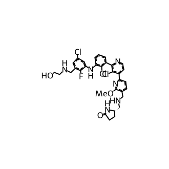 COc1nc(-c2ccnc(-c3cccc(Nc4cc(Cl)cc(CNCCO)c4F)c3Cl)c2Cl)ccc1CNC[C@@H]1CCC(=O)N1